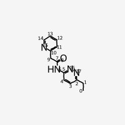 CCc1ccc(NC(=O)Cc2ccccn2)nn1